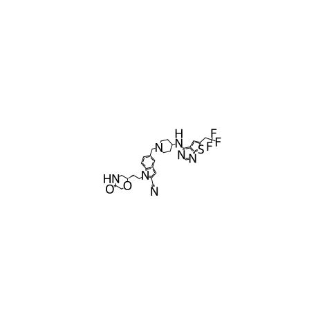 N#Cc1cc2cc(CN3CCC(Nc4ncnc5sc(CC(F)(F)F)cc45)CC3)ccc2n1CC[C@@H]1CNC(=O)CO1